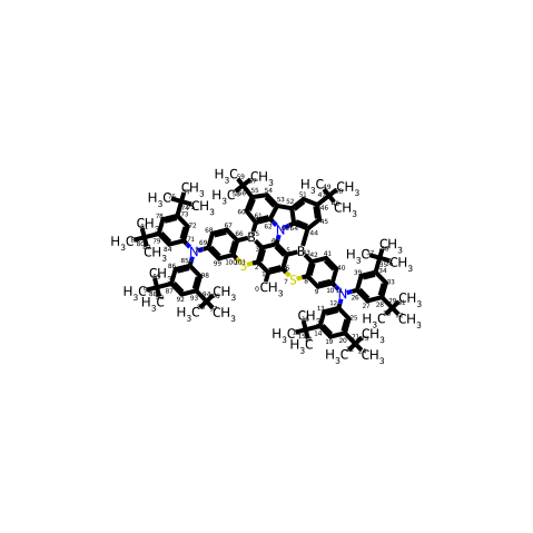 Cc1c2c3c4c5c1Sc1cc(N(c6cc(C(C)(C)C)cc(C(C)(C)C)c6)c6cc(C(C)(C)C)cc(C(C)(C)C)c6)ccc1B5c1cc(C(C)(C)C)cc5c6cc(C(C)(C)C)cc(c6n-4c15)B3c1ccc(N(c3cc(C(C)(C)C)cc(C(C)(C)C)c3)c3cc(C(C)(C)C)cc(C(C)(C)C)c3)cc1S2